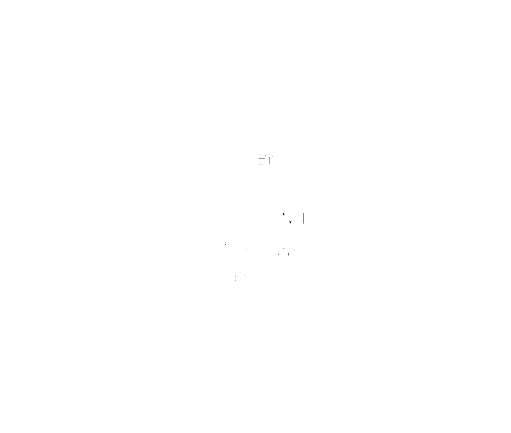 CS(=O)(=O)c1cccc2c(Br)c[nH]c12